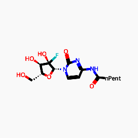 CCCCCC(=O)Nc1ccn([C@@H]2O[C@H](CO)[C@@H](O)[C@]2(O)F)c(=O)n1